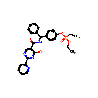 CCOP(=O)(CC)Oc1ccc(C(NC(=O)c2cnc(-c3ccccn3)nc2O)c2ccccc2)cc1